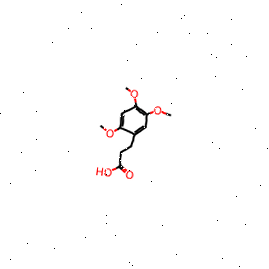 COc1cc(OC)c(OC)cc1CCC(=O)O